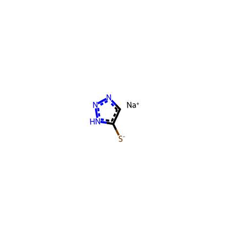 [Na+].[S-]c1cnn[nH]1